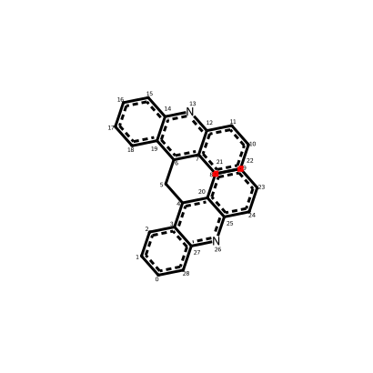 c1ccc2c(Cc3c4ccccc4nc4ccccc34)c3ccccc3nc2c1